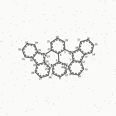 c1cnc(-c2c(-n3c4ccccc4c4ccccc43)cccc2-n2c3ccccc3c3ccccc32)nc1